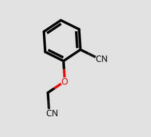 N#CCOc1ccccc1C#N